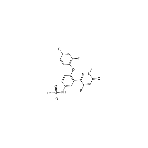 CCS(=O)(=O)Nc1ccc(Oc2ccc(F)cc2F)c(-c2nn(C)c(=O)cc2F)c1